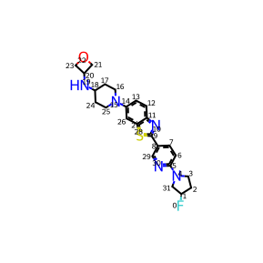 F[C@@H]1CCN(c2ccc(-c3nc4ccc(N5CCC(NC6COC6)CC5)cc4s3)cn2)C1